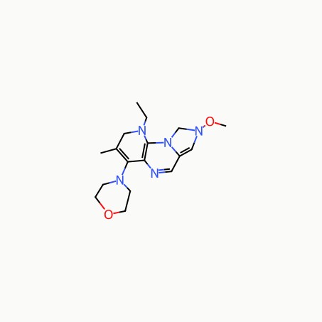 CCN1CC(C)=C(N2CCOCC2)C2=C1N1CN(OC)C=C1C=N2